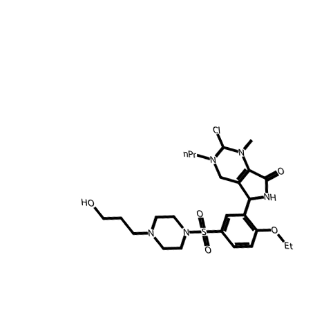 CCCN1CC2=C(C(=O)NC2c2cc(S(=O)(=O)N3CCN(CCCO)CC3)ccc2OCC)N(C)C1Cl